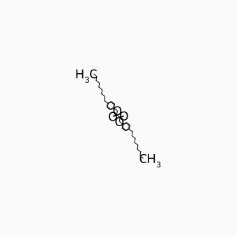 CCCCCCCCCc1ccc(OC(=O)C(=O)Oc2ccc(CCCCCCCCC)cc2)cc1